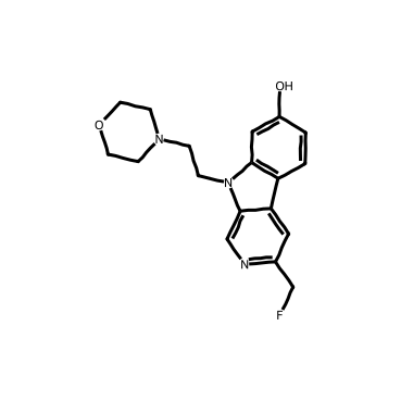 Oc1ccc2c3cc(CF)ncc3n(CCN3CCOCC3)c2c1